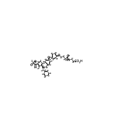 Cc1c(NS(C)(=O)=O)cccc1N(Cc1ccccc1)Cc1ccc(Oc2ccc(OCCCC(=O)NCCC(=O)O)cc2)cc1